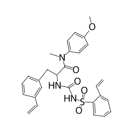 C=Cc1cccc(CC(NC(=O)NS(=O)(=O)c2ccccc2C=C)C(=O)N(C)c2ccc(OC)cc2)c1